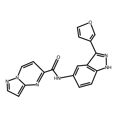 O=C(Nc1ccc2[nH]nc(-c3ccoc3)c2c1)c1ccn2nccc2n1